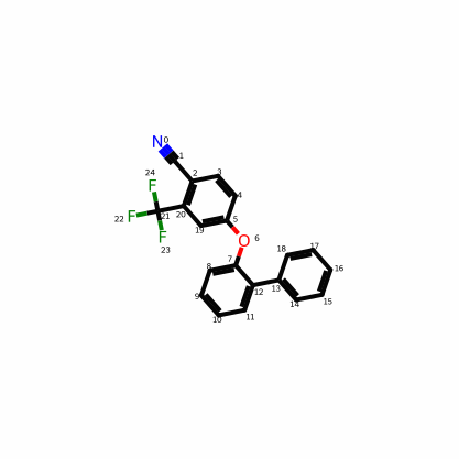 N#Cc1ccc(Oc2ccccc2-c2ccccc2)cc1C(F)(F)F